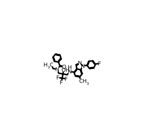 CCN(CC(O)(CNc1cc(C)cc2c1cnn2-c1ccc(F)cc1)C(F)(F)F)C(=O)c1ccccc1